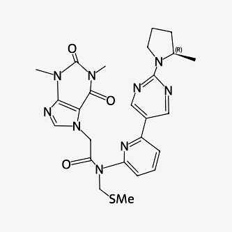 CSCN(C(=O)Cn1cnc2c1c(=O)n(C)c(=O)n2C)c1cccc(-c2cnc(N3CCC[C@H]3C)nc2)n1